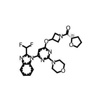 O=C([C@@H]1CCCO1)N1CC(Oc2cc(-n3c(C(F)F)nc4ccccc43)nc(N3CCOCC3)n2)C1